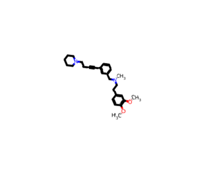 COc1ccc(CCN(C)Cc2cccc(C#CCCN3CCCCC3)c2)cc1OC